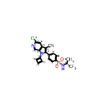 C[C@@H](NS(=O)(=O)c1ccc(-c2c(C#N)c3cc(Cl)ncc3n2C2=CC=C2)cc1)C(F)(F)F